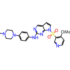 COc1ccncc1S(=O)(=O)n1ccc2cnc(Nc3ccc(N4CCN(C)CC4)cc3)nc21